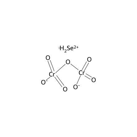 [O]=[Cr](=[O])([O-])[O][Cr](=[O])(=[O])[O-].[SeH2+2]